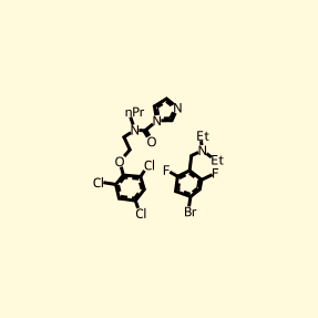 CCCN(CCOc1c(Cl)cc(Cl)cc1Cl)C(=O)n1ccnc1.CCN(CC)Cc1c(F)cc(Br)cc1F